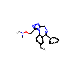 CCCN(C)OCc1nnc2n1-c1ccc([N+](=O)[O-])cc1C(c1ccccc1)=NC2